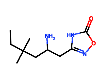 CCC(C)(C)CC(N)Cc1noc(=O)[nH]1